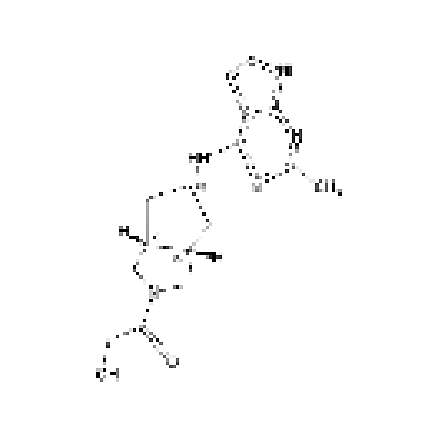 Cc1nc(N[C@@H]2C[C@@H]3CN(C(=O)CO)C[C@@H]3C2)c2cc[nH]c2n1